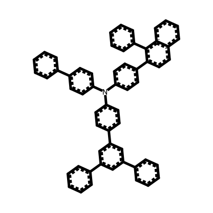 c1ccc(-c2ccc(N(c3ccc(-c4cc(-c5ccccc5)cc(-c5ccccc5)c4)cc3)c3ccc(-c4ccc5ccccc5c4-c4ccccc4)cc3)cc2)cc1